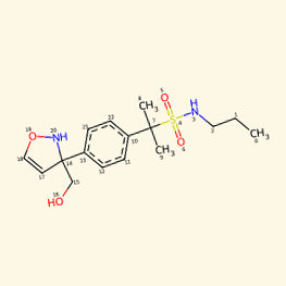 CCCNS(=O)(=O)C(C)(C)c1ccc(C2(CO)C=CON2)cc1